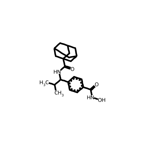 CC(C)C(NC(=O)C12CC3CC(CC(C3)C1)C2)c1ccc(C(=O)NO)cc1